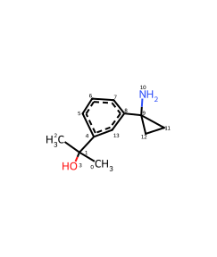 CC(C)(O)c1cccc(C2(N)CC2)c1